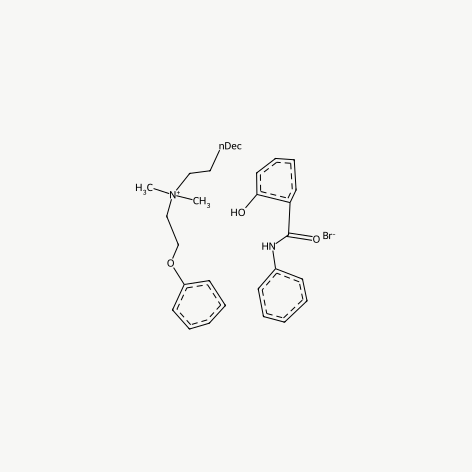 CCCCCCCCCCCC[N+](C)(C)CCOc1ccccc1.O=C(Nc1ccccc1)c1ccccc1O.[Br-]